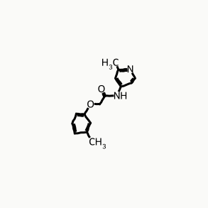 Cc1cccc(OCC(=O)Nc2ccnc(C)c2)c1